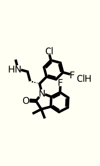 CNCC[C@H](c1cc(F)cc(Cl)c1)N1C(=O)C(C)(C)c2cccc(F)c21.Cl